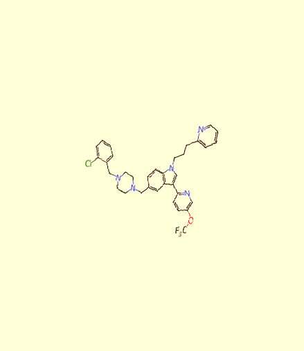 FC(F)(F)Oc1ccc(-c2cn(CCCc3ccccn3)c3ccc(CN4CCN(Cc5ccccc5Cl)CC4)cc23)nc1